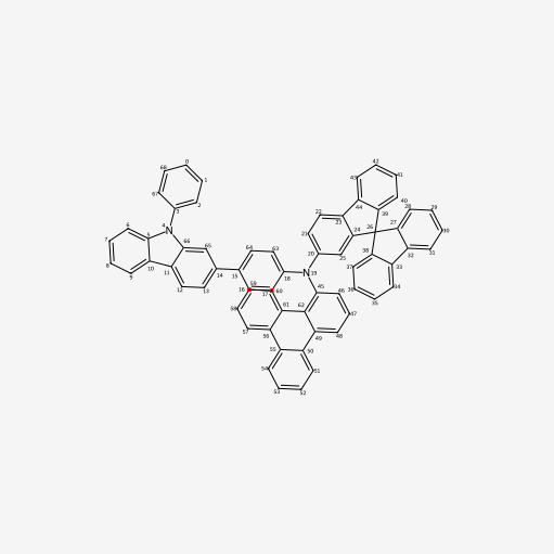 c1ccc(-n2c3ccccc3c3ccc(-c4ccc(N(c5ccc6c(c5)C5(c7ccccc7-c7ccccc75)c5ccccc5-6)c5cccc6c7ccccc7c7ccccc7c56)cc4)cc32)cc1